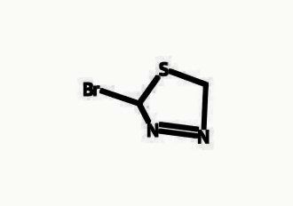 BrC1N=NCS1